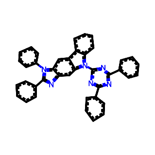 c1ccc(-c2nc(-c3ccccc3)nc(-n3c4ccccc4c4cc5c(cc43)nc(-c3ccccc3)n5-c3ccccc3)n2)cc1